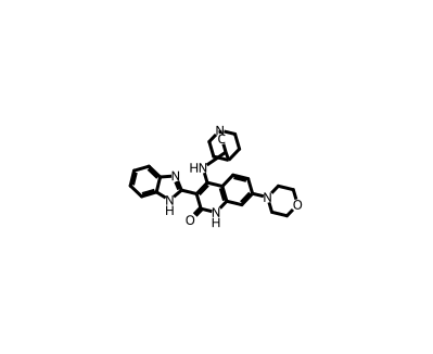 O=c1[nH]c2cc(N3CCOCC3)ccc2c(NC2CN3CCC2CC3)c1-c1nc2ccccc2[nH]1